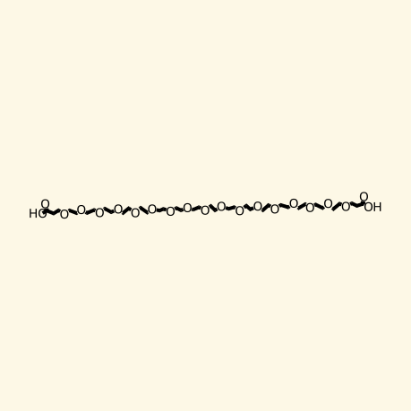 O=C(O)CCOCCOCCOCCOCCOCCOCCOCCOCCOCCOCCOCCOCCOCCOCCOCCOCCOCCC(=O)O